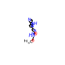 COCCNC(=O)c1ccc(-c2ccc3c(n2)[nH]c2ccncc23)cn1